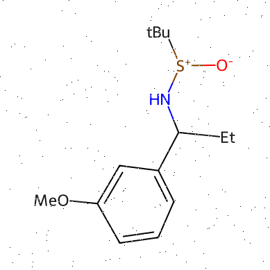 CCC(N[S+]([O-])C(C)(C)C)c1cccc(OC)c1